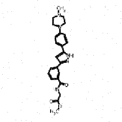 COC(=O)CNC(=O)c1cccc(-c2cc(-c3ccc(N4CCN(C)CC4)cc3)[nH]n2)c1